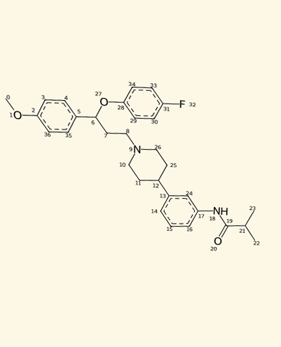 COc1ccc(C(CCN2CCC(c3cccc(NC(=O)C(C)C)c3)CC2)Oc2ccc(F)cc2)cc1